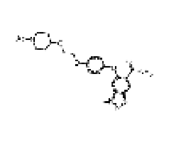 CC(=O)N1CCC(OCCOc2ccc(Oc3cc4c(cnn4C)cc3C(N)=O)cc2)CC1